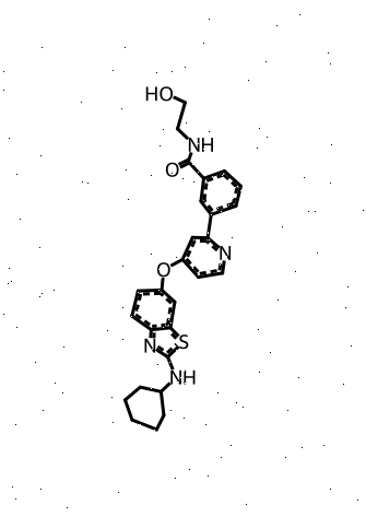 O=C(NCCO)c1cccc(-c2cc(Oc3ccc4nc(NC5CCCCC5)sc4c3)ccn2)c1